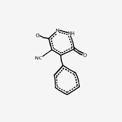 N#Cc1c(Cl)n[nH]c(=O)c1-c1ccccc1